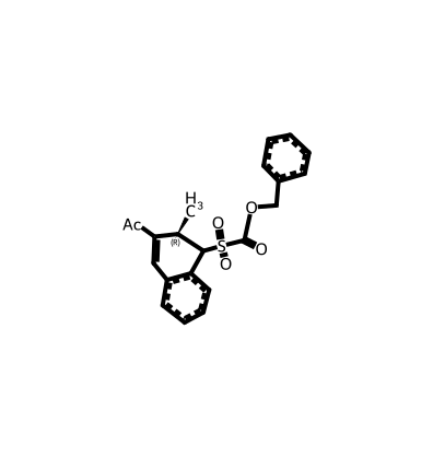 CC(=O)C1=Cc2ccccc2C(S(=O)(=O)C(=O)OCc2ccccc2)[C@@H]1C